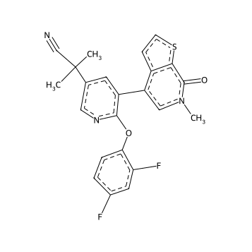 Cn1cc(-c2cc(C(C)(C)C#N)cnc2Oc2ccc(F)cc2F)c2ccsc2c1=O